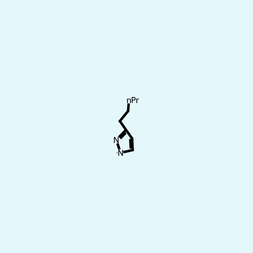 CCCCCC1=N[N]C=C1